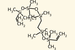 C=C[Si](C)(C)O[Si](C)(C)CC[Si](C)(C)O[Si](C)(C)O[Si](C)(C)C=C